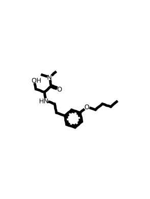 CCCCOc1cccc(CCNC(CO)C(=O)N(C)C)c1